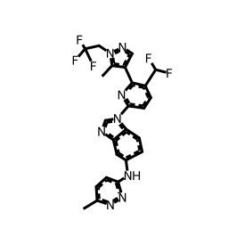 Cc1ccc(Nc2ccc3c(c2)ncn3-c2ccc(C(F)F)c(-c3cnn(CC(F)(F)F)c3C)n2)nn1